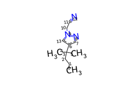 CCCC(C)(C)c1cnn(CC#N)c1